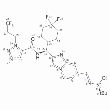 CC(C)(C)[S@+]([O-])/N=C/c1cnn2cc([C@@H](NC(=O)c3cnnn3CCC(F)(F)F)C3CCC(F)(F)CC3)nc2c1